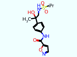 CC(C)S(=O)(=O)NCC(C)(O)c1ccc(NC(=O)c2ccno2)cc1